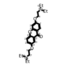 CCN(CC)CCOc1ccc2c(=O)c3cc(OCCN(CC)CC)ccc3oc2c1